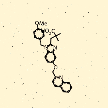 COc1ccc(Cn2c(CC(C)(C)C(=O)O)nc3cc(OCc4ccc5ccccc5n4)ccc32)cc1